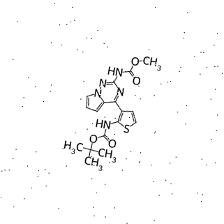 COC(=O)Nc1nc(-c2ccsc2NC(=O)OC(C)(C)C)c2cccn2n1